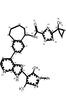 Cc1nn(C(C)C)c(C)c1-c1nc2c(-c3ccc4c(c3)CCCCC4NC(=O)c3nc(C4(C)CC4)no3)ccnc2[nH]1